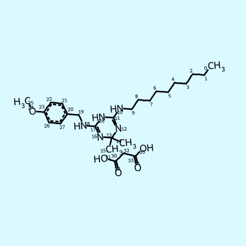 CCCCCCCCCCNC1=NC(C)(C)N=C(NCc2ccc(OC)cc2)N1.O=C(O)CC(=O)O